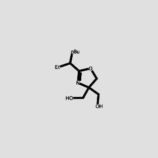 CCCCC(CC)C1=NC(CO)(CO)CO1